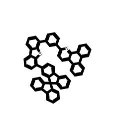 c1cc(-c2ccc3c4ccccc4c4ccccc4c3n2)cc(-c2cccc3c2sc2c(-c4ccc5c(c4)C4(c6ccccc6-c6ccccc64)c4ccccc4-5)cccc23)c1